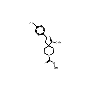 COC(=O)C1(CCc2ccc([N+](=O)[O-])cc2)CCN(C(=O)OC(C)(C)C)CC1